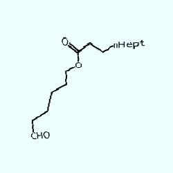 CCCCCCCCCC(=O)OCCCCCC=O